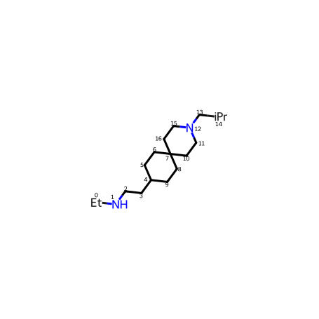 CCNCCC1CCC2(CC1)CCN(CC(C)C)CC2